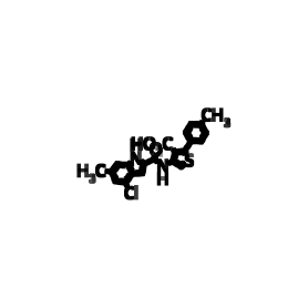 Cc1ccc(-c2scc(NC(=O)c3cc4c(Cl)cc(C)cc4[nH]3)c2C(=O)O)cc1